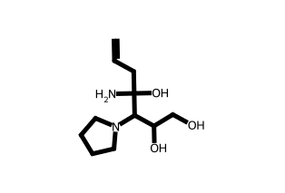 C=CCC(N)(O)C(C(O)CO)N1CCCC1